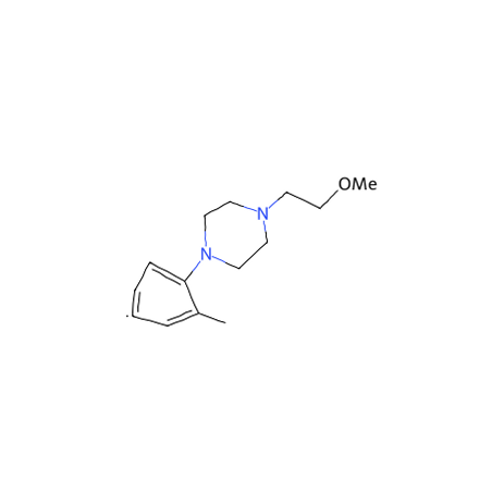 COCCN1CCN(c2cc[c]cc2C)CC1